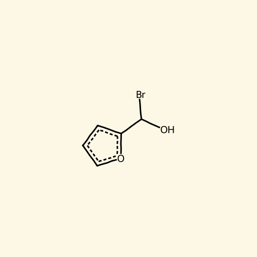 OC(Br)c1ccco1